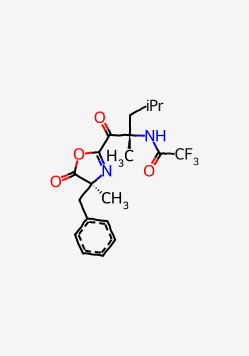 CC(C)C[C@](C)(NC(=O)C(F)(F)F)C(=O)C1=N[C@@](C)(Cc2ccccc2)C(=O)O1